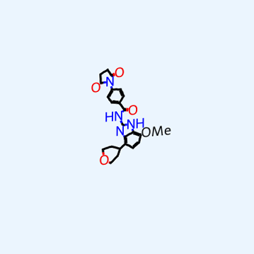 COc1ccc(C2CCOCC2)c2nc(NC(=O)c3ccc(N4C(=O)CCC4=O)cc3)[nH]c12